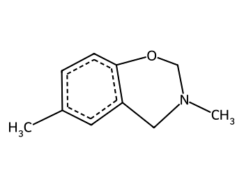 Cc1ccc2c(c1)CN(C)CO2